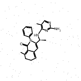 CC1=c2c(cc([C@H](C)Nc3nc(N)ncc3C)n(-c3ccccc3)c2=O)=CCC1